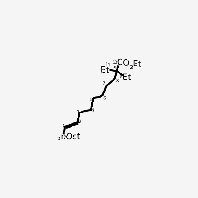 CCCCCCCCC=CCCCCCCC(CC)(CC)C(=O)OCC